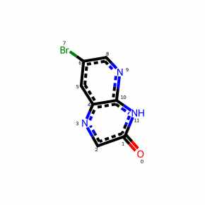 O=c1cnc2cc(Br)cnc2[nH]1